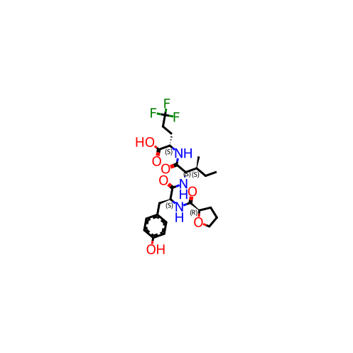 CC[C@H](C)[C@H](NC(=O)[C@H](Cc1ccc(O)cc1)NC(=O)[C@H]1CCCO1)C(=O)N[C@@H](CCC(F)(F)F)C(=O)O